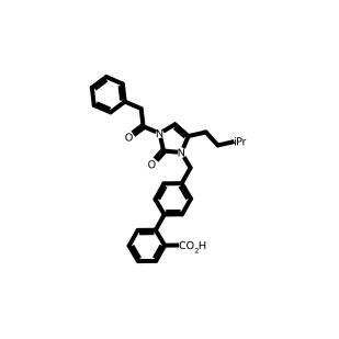 CC(C)CCc1cn(C(=O)Cc2ccccc2)c(=O)n1Cc1ccc(-c2ccccc2C(=O)O)cc1